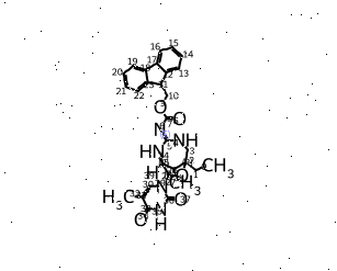 CC[C@]12CN/C(=N\C(=O)OCC3c4ccccc4-c4ccccc43)N[C@@H](C1C)[C@H](n1cc(C)c(=O)[nH]c1=O)O2